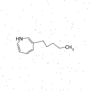 CCCCCC1=CNC=CC=C1